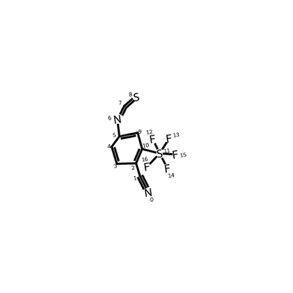 N#Cc1ccc(N=C=S)cc1S(F)(F)(F)(F)F